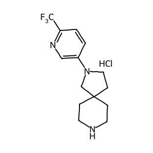 Cl.FC(F)(F)c1ccc(N2CCC3(CCNCC3)C2)cn1